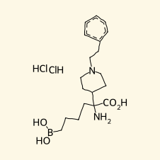 Cl.Cl.NC(CCCCB(O)O)(C(=O)O)C1CCN(CCc2ccccc2)CC1